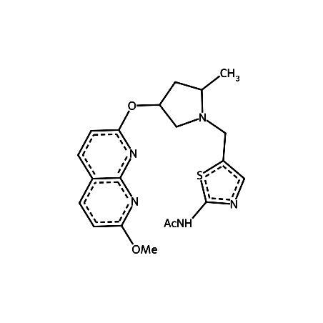 COc1ccc2ccc(OC3CC(C)N(Cc4cnc(NC(C)=O)s4)C3)nc2n1